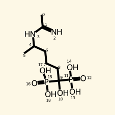 CC(=N)NC(C)CCCC(O)(P(=O)(O)O)P(=O)(O)O